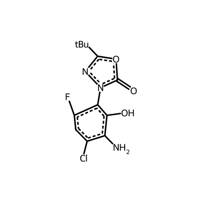 CC(C)(C)c1nn(-c2c(F)cc(Cl)c(N)c2O)c(=O)o1